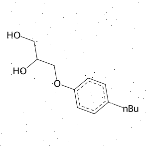 CCCCc1ccc(OCC(O)[CH]O)cc1